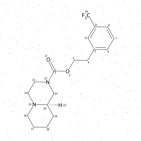 O=C(OCCc1cccc(C(F)(F)F)c1)N1CCN2CCCC[C@@H]2C1